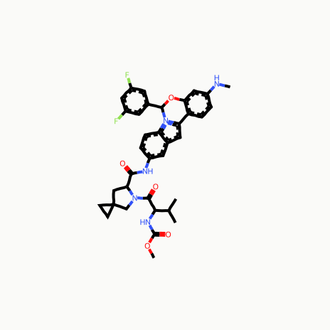 CNc1ccc2c(c1)OC(c1cc(F)cc(F)c1)n1c-2cc2cc(NC(=O)C3CC4(CC4)CN3C(=O)C(NC(=O)OC)C(C)C)ccc21